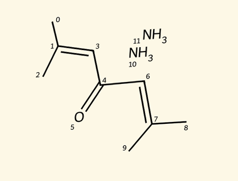 CC(C)=CC(=O)C=C(C)C.N.N